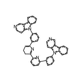 C1=C(c2cccc(-n3c4ccccc4c4cnccc43)c2)N=C(c2cccc(-c3cccc(-n4c5ccccc5c5cnccc54)c3)n2)CC1